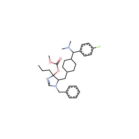 CCCC1(OC(=O)OC)N=CN(Cc2ccccc2)C1CC1CCC(C(c2ccc(F)cc2)N(C)C)CC1